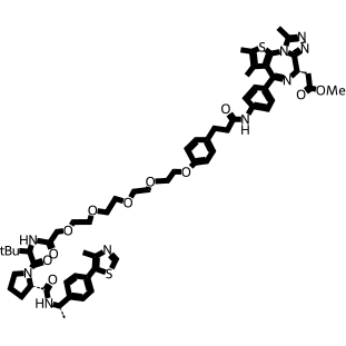 COC(=O)C[C@@H]1N=C(c2ccc(NC(=O)CCc3ccc(OCCOCCOCCOCCOCC(=O)NC(C(=O)N4CCC[C@H]4C(=O)N[C@@H](C)c4ccc(-c5scnc5C)cc4)C(C)(C)C)cc3)cc2)c2c(sc(C)c2C)-n2c(C)nnc21